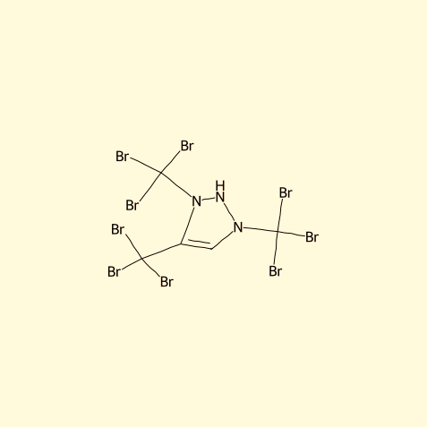 BrC(Br)(Br)C1=CN(C(Br)(Br)Br)NN1C(Br)(Br)Br